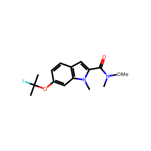 CON(C)C(=O)c1cc2ccc(OC(C)(C)F)cc2n1C